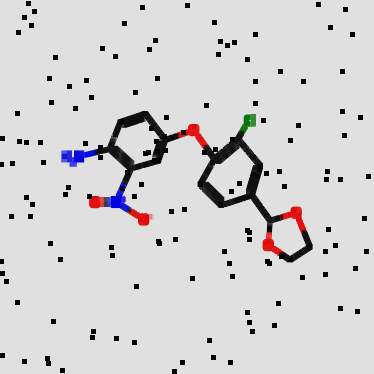 Nc1ccc(Oc2ccc(C3OCCO3)cc2Cl)cc1[N+](=O)[O-]